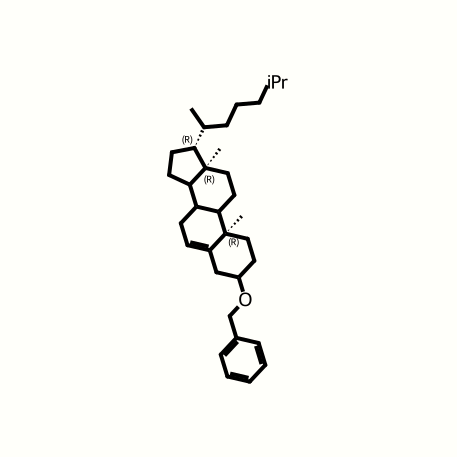 CC(C)CCCC(C)[C@H]1CCC2C3CC=C4CC(OCc5ccccc5)CC[C@]4(C)C3CC[C@@]21C